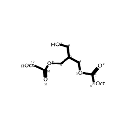 CCCCCCCCC(=O)OCC(CO)COC(=O)CCCCCCCC